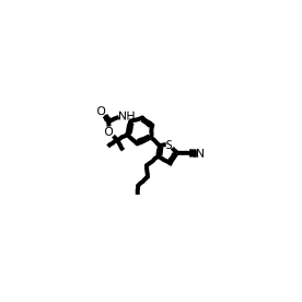 CCCCc1cc(C#N)sc1-c1ccc2c(c1)C(C)(C)OC(=O)N2